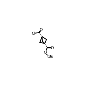 CC(C)(C)OC(=O)[C@]12C[C@](C(=O)Cl)(C1)C2